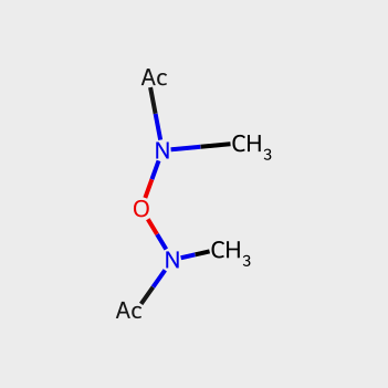 CC(=O)N(C)ON(C)C(C)=O